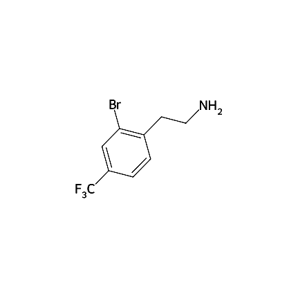 NCCc1ccc(C(F)(F)F)cc1Br